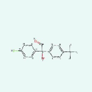 CC(C)(C)c1ccc([C@@](Br)(C=O)c2ccc(F)cc2)cc1